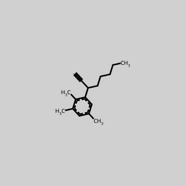 [C]#CC(CCCCC)c1cc(C)cc(C)c1C